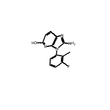 Cc1c(F)cccc1-n1c(N)nc2ccc(O)nc21